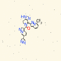 Cn1cc(-c2ccc3c(C(=O)N4CCc5[nH]cnc5[C@H]4c4cc5cccc(C(F)(F)F)n5n4)cnn3c2)cn1